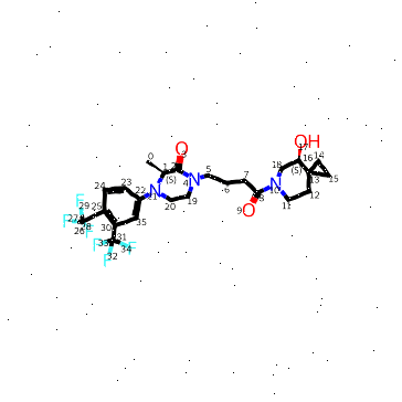 C[C@H]1C(=O)N(CCCC(=O)N2CCC3(CC3)[C@H](O)C2)CCN1c1ccc(C(F)(F)F)c(C(F)(F)F)c1